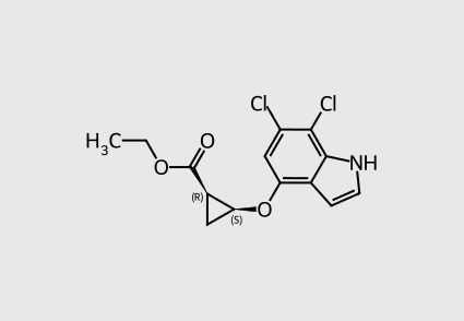 CCOC(=O)[C@@H]1C[C@@H]1Oc1cc(Cl)c(Cl)c2[nH]ccc12